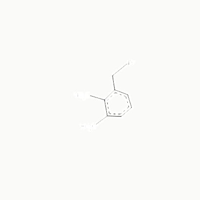 CC(C)Cc1cccc(C(=O)O)c1C(=O)O